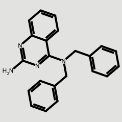 Nc1nc(N(Cc2ccccc2)Cc2ccccc2)c2ccccc2n1